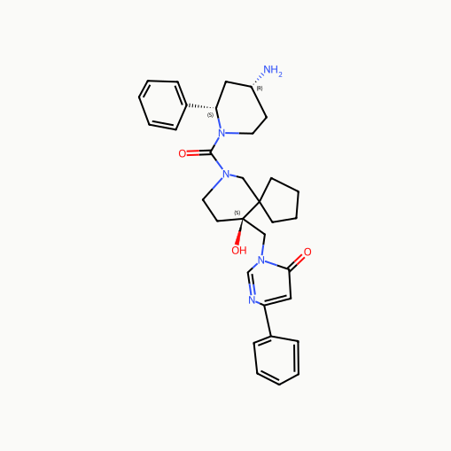 N[C@@H]1CCN(C(=O)N2CC[C@@](O)(Cn3cnc(-c4ccccc4)cc3=O)C3(CCCC3)C2)[C@H](c2ccccc2)C1